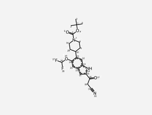 CC(C)(C)OC(=O)N1CCC(c2cc3[nH]c(C(=O)CC#N)cc3cc2OC(F)F)CC1